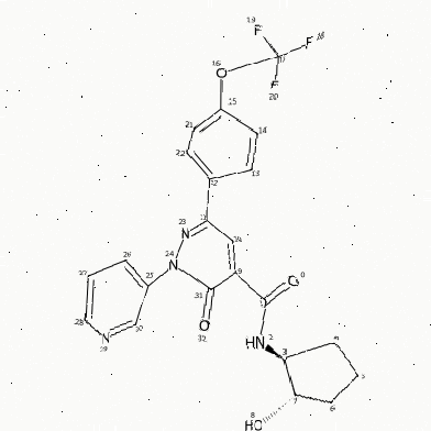 O=C(N[C@H]1CCC[C@@H]1O)c1cc(-c2ccc(OC(F)(F)F)cc2)nn(-c2cccnc2)c1=O